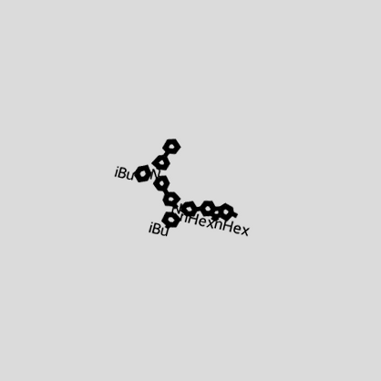 CCCCCCC1(CCCCCC)c2cc(C)ccc2-c2ccc(-c3ccc(N(c4ccc(-c5ccc(N(c6ccc(-c7ccccc7)cc6)c6ccc(C(C)CC)cc6)cc5)cc4)c4ccc(C(C)CC)cc4)cc3)cc21